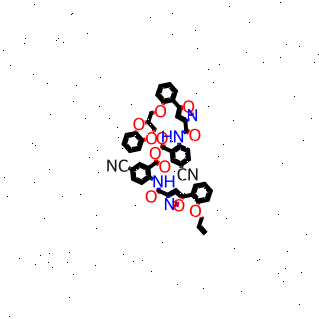 C=CCOc1ccccc1-c1cc(C(=O)Nc2ccc(C#N)cc2C(=O)OC(=O)c2cc(C#N)ccc2NC(=O)c2cc(-c3ccccc3OCC3COc4ccccc4O3)on2)no1